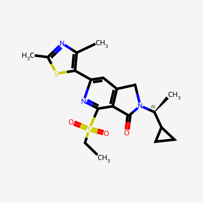 CCS(=O)(=O)c1nc(-c2sc(C)nc2C)cc2c1C(=O)N([C@@H](C)C1CC1)C2